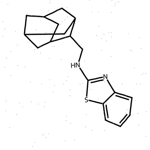 c1ccc2sc(NCC3C4CC5CC(C4)CC3C5)nc2c1